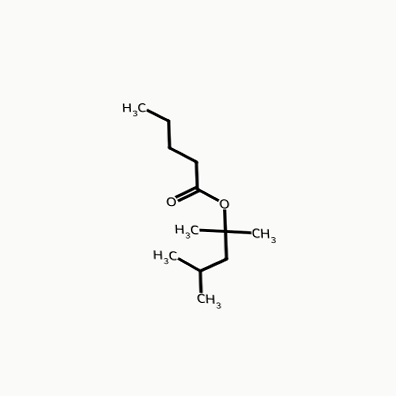 CCCCC(=O)OC(C)(C)CC(C)C